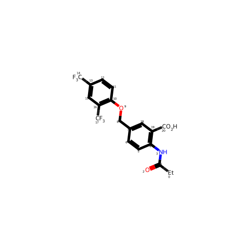 CCC(=O)Nc1ccc(COc2ccc(C(F)(F)F)cc2C(F)(F)F)cc1C(=O)O